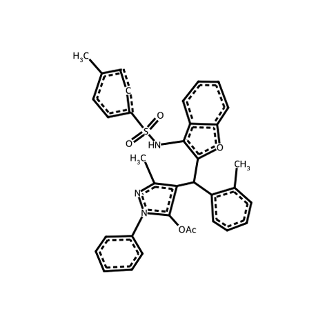 CC(=O)Oc1c(C(c2ccccc2C)c2oc3ccccc3c2NS(=O)(=O)c2ccc(C)cc2)c(C)nn1-c1ccccc1